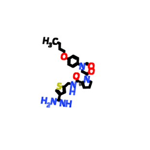 CCCCOc1ccc(N(C=O)CC(=O)N2CCC[C@H]2C(=O)NCc2cc(C(=N)N)cs2)cc1